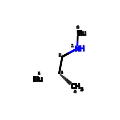 CCC(C)NC[C@H](C)[C@H](C)CC